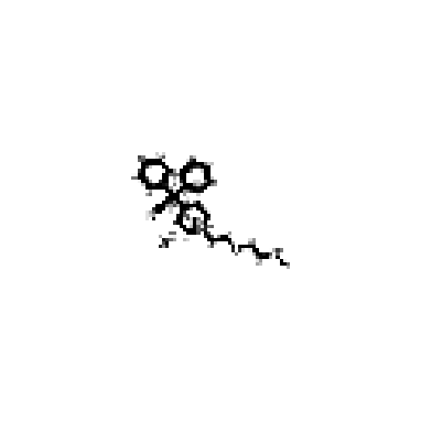 COCCOCC[N+]12CCC(C(C#N)(c3ccccc3)c3ccccc3)(CC1)CC2.[Br-]